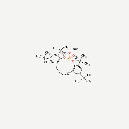 CC(C)(C)c1cc2c(c(C(C)(C)C)c1)OP(=O)([O-])Oc1c(cc(C(C)(C)C)cc1C(C)(C)C)CCCC2.[Na+]